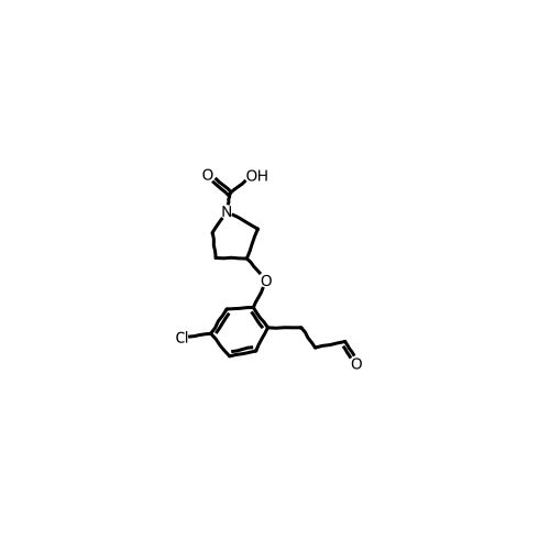 O=CCCc1ccc(Cl)cc1OC1CCN(C(=O)O)C1